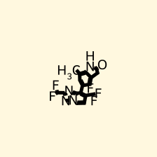 Cc1cc(-c2c(C(F)(F)F)ccn3nc(C(F)F)nc23)cc2c1NC(=O)C2